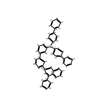 c1ccc(-c2ccc(N(c3ccc(-c4ccccc4)cc3)c3cccc(-c4cccc(-c5cc(-c6ccccc6)c6ccccc6c5)c4)c3)cc2)cc1